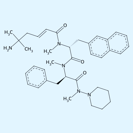 CN(C(=O)/C=C/CC(C)(C)N)[C@H](Cc1ccc2ccccc2c1)C(=O)N(C)[C@H](Cc1ccccc1)C(=O)N(C)N1CCCCC1